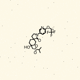 CC(C)S(=O)(=O)CC1(O)CCC2(CCN(c3ccc(O[C@H](C)C(F)(F)F)nc3)C2=O)CC1